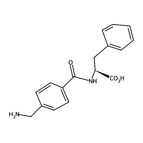 NCc1ccc(C(=O)N[C@@H](Cc2ccccc2)C(=O)O)cc1